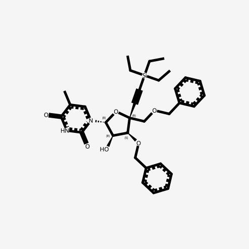 CC[Si](C#C[C@]1(COCc2ccccc2)O[C@@H](n2cc(C)c(=O)[nH]c2=O)[C@H](O)[C@@H]1OCc1ccccc1)(CC)CC